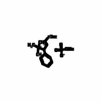 CCCCCCCCCCCCC(c1ccccc1)[N+](C)(C)C.COS(=O)(=O)[O-]